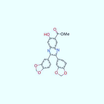 COC(=O)c1cc2nc(-c3ccc4c(c3)OCO4)c(-c3ccc4c(c3)OCO4)nc2cc1O